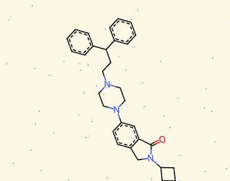 O=C1c2cc(N3CCN(CCC(c4ccccc4)c4ccccc4)CC3)ccc2CN1C1CCC1